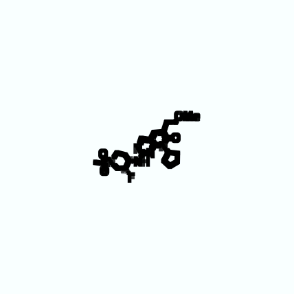 COCCc1cc2cnc(N[C@@H]3CCN(S(C)(=O)=O)C[C@H]3F)nc2n(C2CCCC2)c1=O